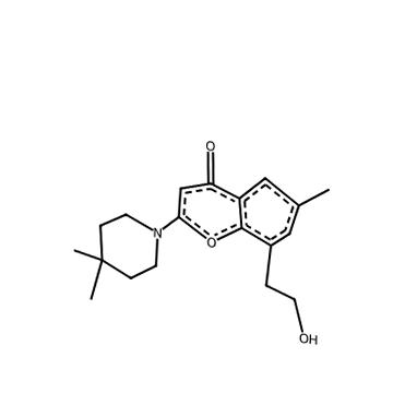 Cc1cc(CCO)c2oc(N3CCC(C)(C)CC3)cc(=O)c2c1